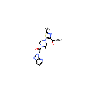 COC(=O)c1nc(C(F)(F)F)sc1N1CCN(C(=O)Cn2cnc3cccnc32)C(C)C1